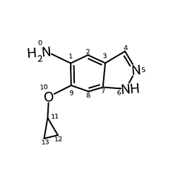 Nc1cc2cn[nH]c2cc1OC1CC1